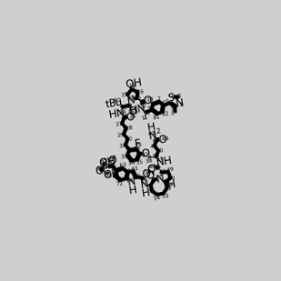 Cc1ncsc1-c1ccc([C@H](C)NC(=O)[C@@H]2C[C@@H](O)CN2C(=O)[C@@H](NC(=O)CCCCCc2cccc(OC[C@H](CCC(N)=O)NC(=O)[C@@H]3CC[C@@H]4CCCC[C@H](NC(=O)c5cc6cc(C(=O)P(=O)(O)O)ccc6[nH]5)C(=O)N43)c2F)C(C)(C)C)cc1